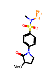 COC1CCN(c2ccc(S(=O)(=O)N(C)PP)cc2)C1=O